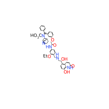 CCOc1cc(NC(=O)COc2cccc([C@H](c3ccccc3)N(C(=O)O)C3CN4CCC3CC4)c2)ccc1CNCC(O)c1ccc(O)c2[nH]c(=O)ccc12